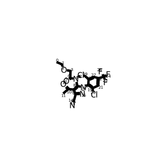 CCOCC(=O)N(C)c1c(C(C)=O)c(C#N)nn1-c1c(Cl)cc(C(F)(F)F)cc1Cl